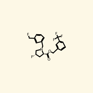 O=C(OCc1cccc(C(F)(F)F)c1)[C@H]1C[C@H](F)CN1Cc1cccc(CF)c1